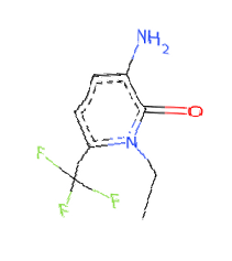 CCn1c(C(F)(F)F)ccc(N)c1=O